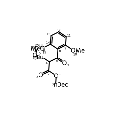 CCCCCCCCCCOC(=O)C(CCCC)C(=O)c1c(OC)cccc1OC.O=[PH3]